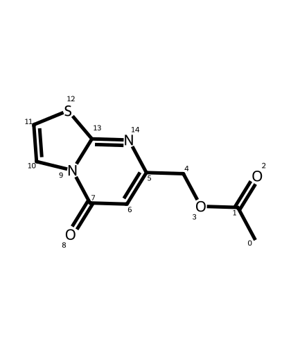 CC(=O)OCc1cc(=O)n2ccsc2n1